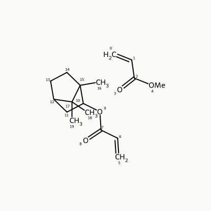 C=CC(=O)OC.C=CC(=O)OC1CC2CCC1(C)C2(C)C